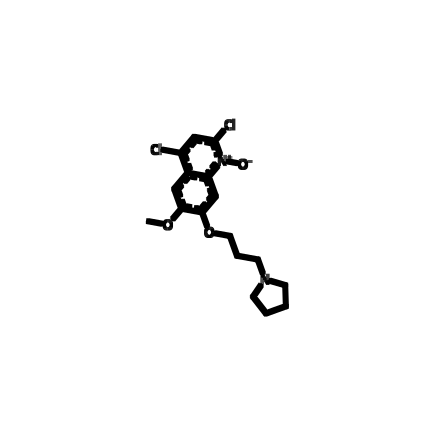 COc1cc2c(Cl)cc(Cl)[n+]([O-])c2cc1OCCCN1CCCC1